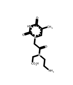 Cc1cn(CC(=O)N(CCN)CC(=O)O)c(=O)[nH]c1=O